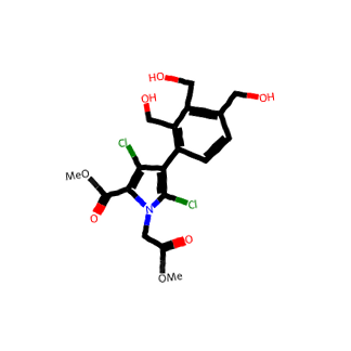 COC(=O)Cn1c(Cl)c(-c2ccc(CO)c(CO)c2CO)c(Cl)c1C(=O)OC